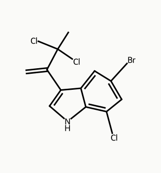 C=C(c1c[nH]c2c(Cl)cc(Br)cc12)C(C)(Cl)Cl